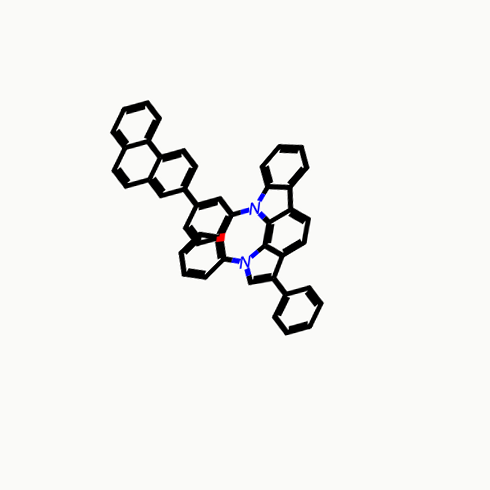 c1ccc(-c2cn(-c3ccccc3)c3c2ccc2c4ccccc4n(-c4cccc(-c5ccc6c(ccc7ccccc76)c5)c4)c23)cc1